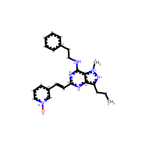 CCCc1nn(C)c2c(NCCc3ccccc3)nc(/C=C/c3ccc[n+]([O-])c3)nc12